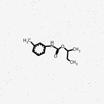 CCC(C)OC(=O)Nc1cccc(C)c1